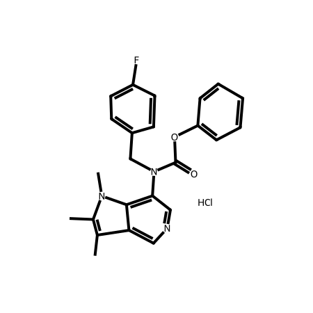 Cc1c(C)n(C)c2c(N(Cc3ccc(F)cc3)C(=O)Oc3ccccc3)cncc12.Cl